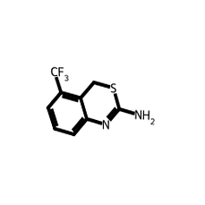 NC1=Nc2cccc(C(F)(F)F)c2CS1